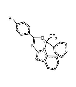 FC(F)(F)[C@]1(c2ccccc2)OC(c2ccc(Br)cc2)=Nc2nc3ccccc3n21